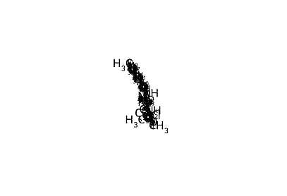 COc1cc(C)c(Cl)c(NC(=O)c2csc3c(Nc4ccc(N5CCN(C6CCN(C)CC6)CC5)cc4)ncnc23)c1Cl